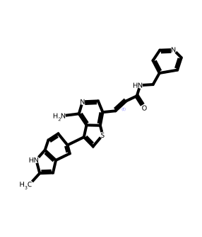 Cc1cc2cc(-c3csc4c(/C=C/C(=O)NCc5ccncc5)cnc(N)c34)ccc2[nH]1